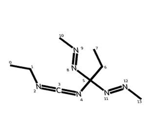 CCN=C=NC(CC)(N=NC)N=NC